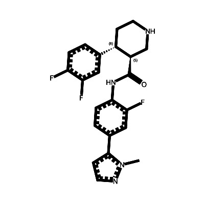 Cn1nccc1-c1ccc(NC(=O)[C@@H]2CNCC[C@H]2c2ccc(F)c(F)c2)c(F)c1